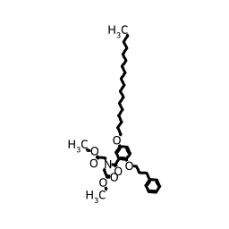 CCCCCCCCCCCCCCCCCCOc1ccc(OCCCc2ccccc2)c(C(=O)N(CC(=O)OCC)CC(=O)OCC)c1